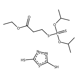 CCOC(=O)CCSP(=S)(OC(C)C)OC(C)C.Sc1nnc(S)s1